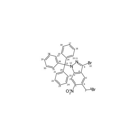 O=[N+]([O-])c1cc2c(cc1CBr)c(Br)nn2C(c1ccccc1)(c1ccccc1)c1ccccc1